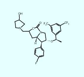 C[C@@H](O[C@H]1CN2C(=O)CC(CN3CCC(O)C3)C[C@H]2[C@@H]1c1ccc(F)cc1)c1cc(C(F)(F)F)cc(C(F)(F)F)c1